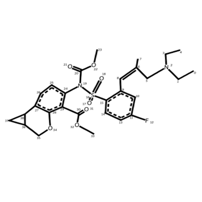 CCN(CC)C/C(C)=C\c1cc(F)ccc1S(=O)(=O)N(C(=O)OC)c1ccc2c(c1C(=O)OC)OCC1CC21